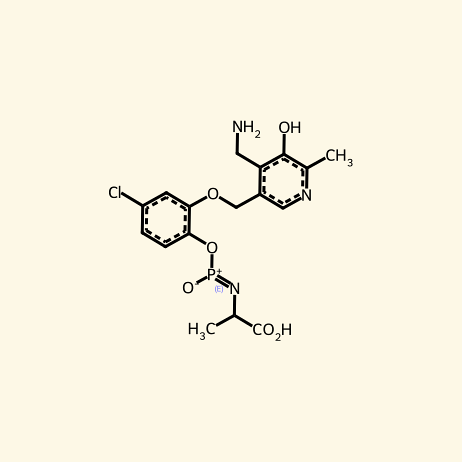 Cc1ncc(COc2cc(Cl)ccc2O/[P+]([O-])=N/C(C)C(=O)O)c(CN)c1O